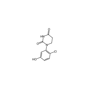 O=C1CCN(c2cc(O)ccc2Cl)C(=O)N1